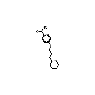 O=NC(=O)c1ccc(OCCCC2CCCCC2)cc1